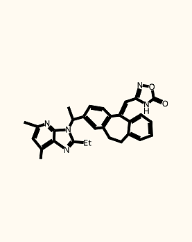 CCc1nc2c(C)cc(C)nc2n1C(C)c1ccc2c(c1)CCc1ccccc1C2=Cc1noc(=O)[nH]1